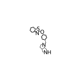 c1ccc2sc(Oc3ccc(CN4CCC5CNCC54)cc3)nc2c1